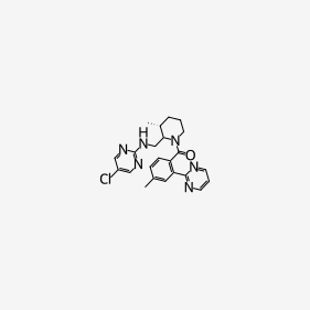 Cc1ccc(C(=O)N2CCC[C@@H](C)C2CNc2ncc(Cl)cn2)c(-c2ncccn2)c1